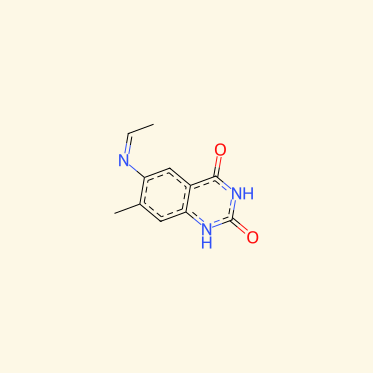 C/C=N\c1cc2c(=O)[nH]c(=O)[nH]c2cc1C